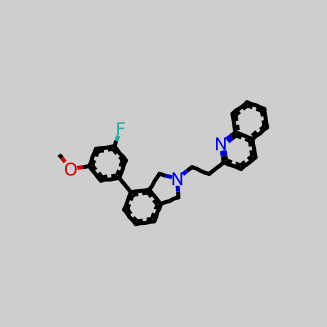 COc1cc(F)cc(-c2cccc3c2CN(CCc2ccc4ccccc4n2)C3)c1